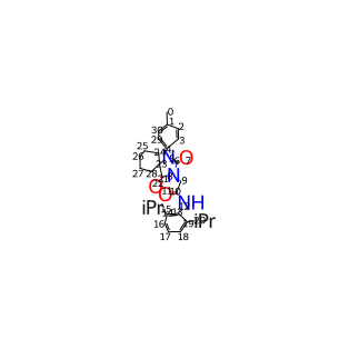 Cc1ccc(N2C(=O)N(CC(=O)Nc3c(C(C)C)cccc3C(C)C)C(=O)C23CCCCC3)cc1